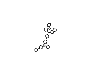 c1ccc(-c2ccc(-n3c4ccccc4c4cc(-c5ccc(N(c6ccc7ccccc7c6)c6cccc7c6oc6ccccc67)cc5)ccc43)cc2)cc1